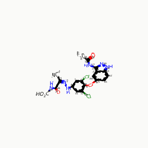 N#C/C(=N/Nc1cc(Cl)c(Oc2ccc3[nH]nc(NC(=O)C(F)(F)F)c3c2)c(Cl)c1)C(=O)NC(=O)O